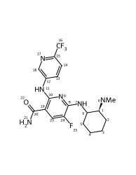 CN[C@H]1CCCCC1Nc1nc(Nc2ccc(C(F)(F)F)nc2)c(C(N)=O)cc1F